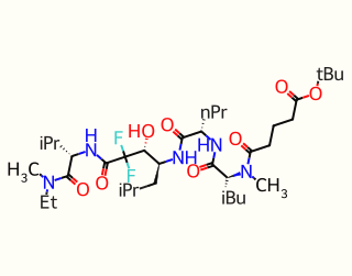 CCC[C@H](NC(=O)[C@H]([C@@H](C)CC)N(C)C(=O)CCCC(=O)OC(C)(C)C)C(=O)N[C@@H](CC(C)C)[C@@H](O)C(F)(F)C(=O)N[C@H](C(=O)N(C)CC)C(C)C